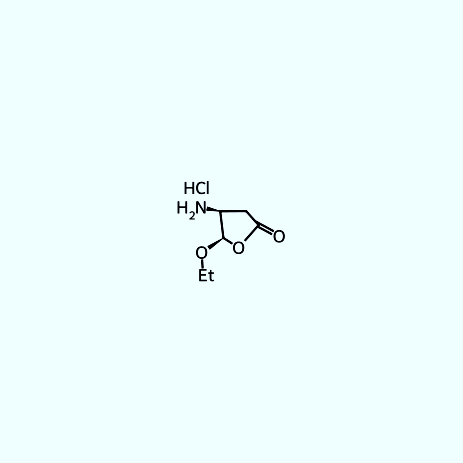 CCO[C@@H]1OC(=O)C[C@@H]1N.Cl